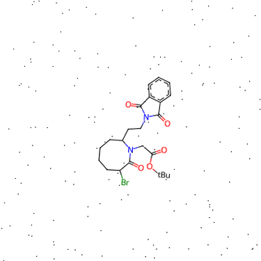 CC(C)(C)OC(=O)CN1C(=O)C(Br)CCCCC1CCN1C(=O)c2ccccc2C1=O